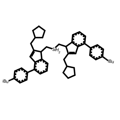 CCC(C)c1ccc(-c2cccc3c2C=C(CC2CCCC2)C3C[SiH2]CC2C(CC3CCCC3)=Cc3c(-c4ccc(C(C)CC)cc4)cccc32)cc1